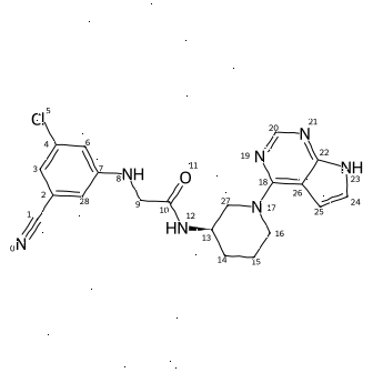 N#Cc1cc(Cl)cc(NCC(=O)N[C@@H]2CCCN(c3ncnc4[nH]ccc34)C2)c1